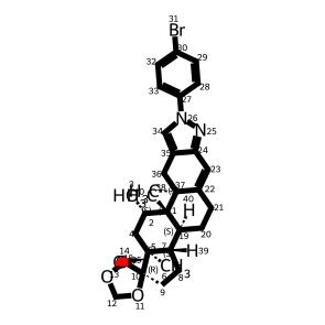 C[C@]12[C@@H](O)C[C@@]3(C)[C@@H](CC[C@@]34OCOC43COCO3)[C@@H]1CCC1=Cc3nn(-c4ccc(Br)cc4)cc3C[C@@]12C